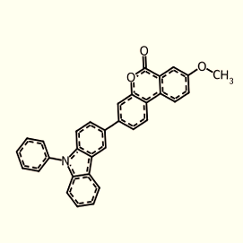 COc1ccc2c(c1)c(=O)oc1cc(-c3ccc4c(c3)c3ccccc3n4-c3ccccc3)ccc12